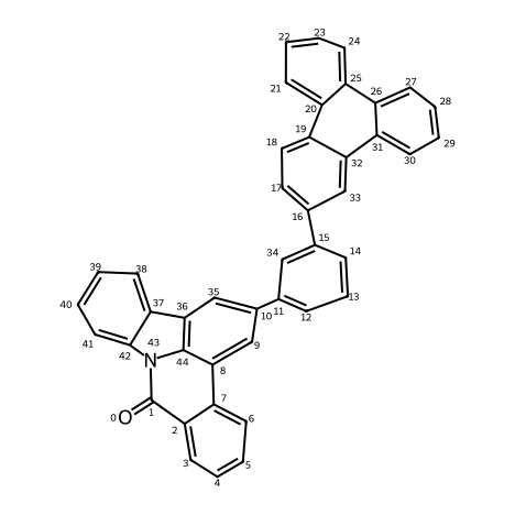 O=c1c2ccccc2c2cc(-c3cccc(-c4ccc5c6ccccc6c6ccccc6c5c4)c3)cc3c4ccccc4n1c23